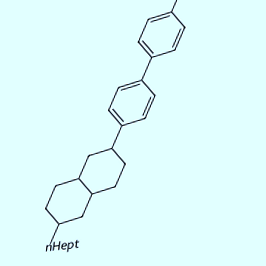 CCCCCCCC1CCC2CC(c3ccc(-c4ccc(C(F)(F)F)cc4)cc3)CCC2C1